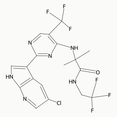 CC(C)(Nc1nc(-c2c[nH]c3ncc(Cl)cc23)ncc1C(F)(F)F)C(=O)NCC(F)(F)F